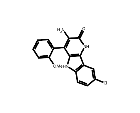 COc1ccccc1-c1c(N)c(=O)[nH]c2c1[nH]c1ccc(Cl)cc12